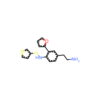 NCCc1ccc(NSc2ccsc2)c(-c2ccco2)c1